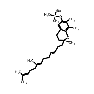 CC(C)=CCC/C(C)=C/CC/C=C/CC[C@]1(C)CCc2cc(O[Si](C)(C)C(C)(C)C)c(C)c(C)c2O1